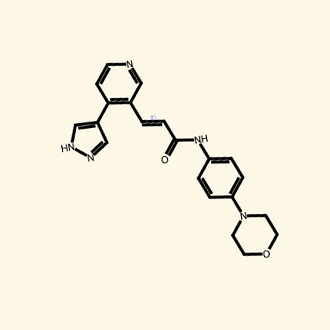 O=C(/C=C/c1cnccc1-c1cn[nH]c1)Nc1ccc(N2CCOCC2)cc1